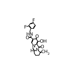 C=C1CCC[C@H]2Cn3cc(C(=O)NCc4ccc(F)cc4F)c(=O)c(O)c3C(=O)N12